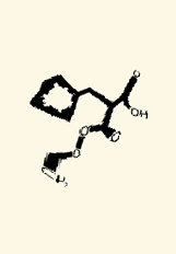 CCOOC(=O)C(Cc1ccccc1)C(=O)O